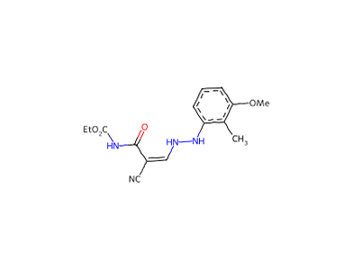 CCOC(=O)NC(=O)C(C#N)=CNNc1cccc(OC)c1C